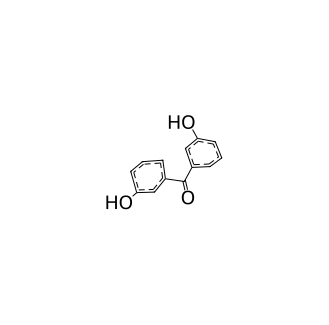 O=C(c1cccc(O)c1)c1cccc(O)c1